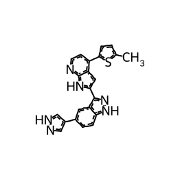 Cc1ccc(-c2ccnc3[nH]c(-c4n[nH]c5ccc(-c6cn[nH]c6)cc45)cc23)s1